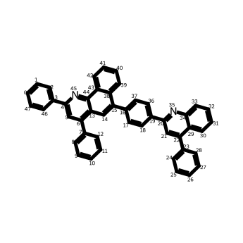 c1ccc(-c2cc(-c3ccccc3)c3cc(-c4ccc(-c5cc(-c6ccccc6)c6ccccc6n5)cc4)c4ccccc4c3n2)cc1